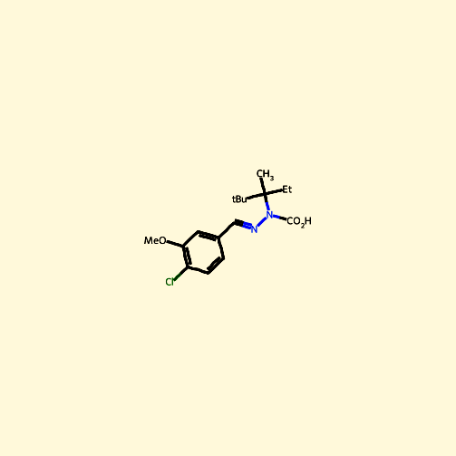 CCC(C)(N(/N=C/c1ccc(Cl)c(OC)c1)C(=O)O)C(C)(C)C